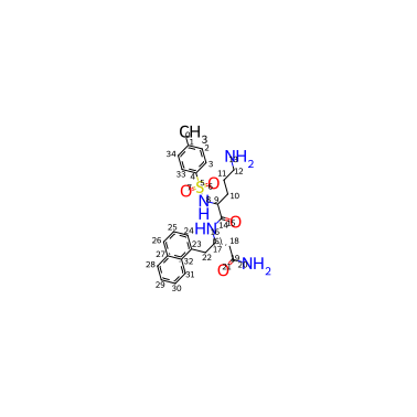 Cc1ccc(S(=O)(=O)NC(CCCN)C(=O)N[C@H](CC(N)=O)Cc2cccc3ccccc23)cc1